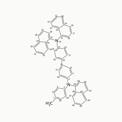 Cc1ccc(N(c2ccc(-c3ccc(N(c4cccc5ccccc45)c4cccc5ccccc45)cc3)cc2)c2cccc3ccccc23)cc1